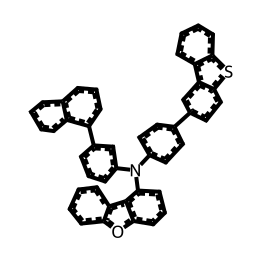 c1cc(-c2cccc3ccccc23)cc(N(c2ccc(-c3ccc4sc5ccccc5c4c3)cc2)c2cccc3oc4ccccc4c23)c1